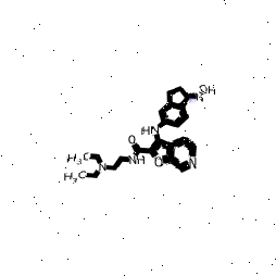 CCN(CC)CCNC(=O)c1oc2cnccc2c1Nc1ccc2c(c1)CC/C2=N\O